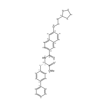 COC(=O)[C@H](Cc1ccc(-c2ccccc2)cc1)NC(=O)c1cc2ccc(OCCC3CCCC3)cc2cn1